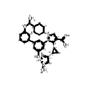 CC(Oc1cccc(-c2cc(O)cc(-n3ncc(C(=O)O)c3[C@H]3C[C@@H]3c3cn(C)nn3)c2)c1)C1CCCCC1